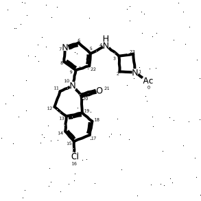 CC(=O)N1CC(Nc2cncc(N3CCc4cc(Cl)ccc4C3=O)c2)C1